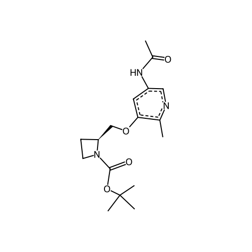 CC(=O)Nc1cnc(C)c(OC[C@@H]2CCN2C(=O)OC(C)(C)C)c1